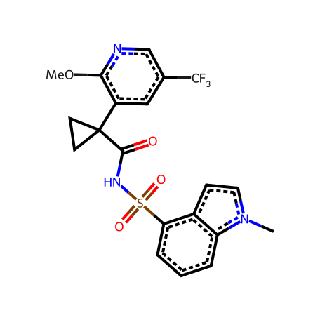 COc1ncc(C(F)(F)F)cc1C1(C(=O)NS(=O)(=O)c2cccc3c2ccn3C)CC1